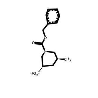 C[C@H]1C[C@H](C(=O)O)CN(C(=O)OCc2ccccc2)C1